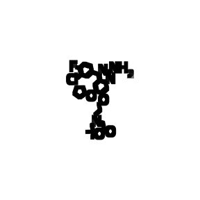 CC1(C)CN(CCCOc2cc3nc(N)nc(-c4ccc(F)c(Cl)c4)c3cc2OC2CCCC2)CC(=O)O1